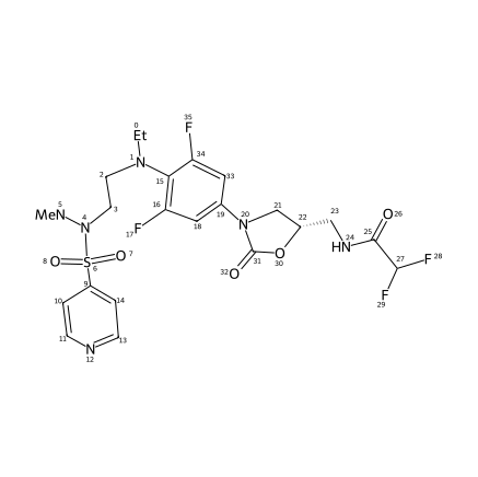 CCN(CCN(NC)S(=O)(=O)c1ccncc1)c1c(F)cc(N2C[C@H](CNC(=O)C(F)F)OC2=O)cc1F